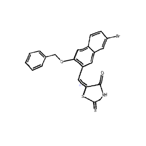 O=C1NC(=S)S/C1=C/c1cc2cc(Br)ccc2cc1OCc1ccccc1